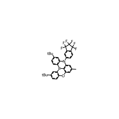 Cc1cc2c3c(c1)N(c1ccc4c(c1)C(F)(F)C(F)(F)C4(F)F)c1cc(C(C)(C)C)ccc1B3c1cc(C(C)(C)C)ccc1O2